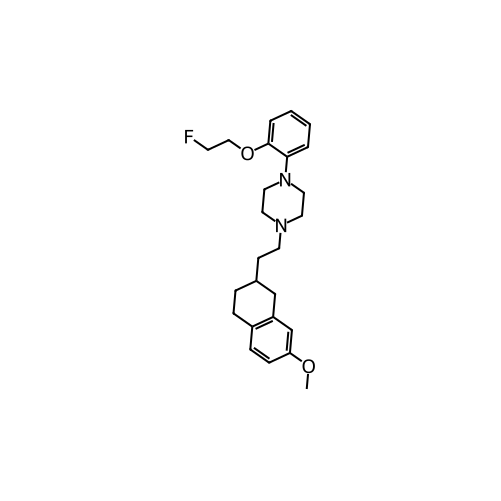 COc1ccc2c(c1)CC(CCN1CCN(c3ccccc3OCCF)CC1)CC2